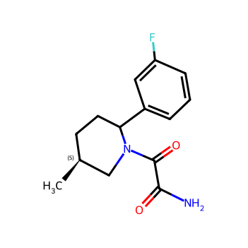 C[C@H]1CCC(c2cccc(F)c2)N(C(=O)C(N)=O)C1